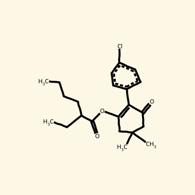 CCCCC(CC)C(=O)OC1=C(c2ccc(Cl)cc2)C(=O)CC(C)(C)C1